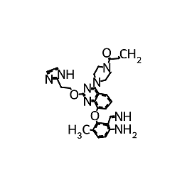 C=CC(=O)N1CCN(c2nc(OCCc3ncc[nH]3)nc3c(Oc4c(C)ccc(N)c4C=N)cccc23)CC1